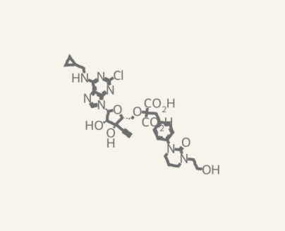 C#C[C@@]1(O)[C@@H](COC(Cc2ccc(N3CCCN(CCO)C3=O)cc2)(C(=O)O)C(=O)O)O[C@@H](n2cnc3c(NCC4CC4)nc(Cl)nc32)[C@@H]1O